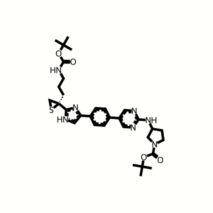 CC(C)(C)OC(=O)NCCC[C@@]1(c2nc(-c3ccc(-c4cnc(NC5CCN(C(=O)OC(C)(C)C)C5)nc4)cc3)c[nH]2)CS1